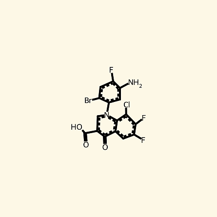 Nc1cc(-n2cc(C(=O)O)c(=O)c3cc(F)c(F)c(Cl)c32)c(Br)cc1F